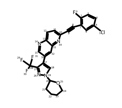 Fc1ccc(Cl)cc1C#Cc1ccc2ncc(-c3cn(C4CCCCO4)nc3C(F)(F)F)cc2n1